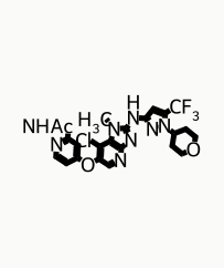 CC(=O)Nc1cc(Oc2cnc3nc(Nc4cc(C(F)(F)F)n(C5CCOCC5)n4)n(C)c3c2Cl)ccn1